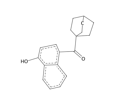 O=C(c1ccc(O)c2ccccc12)C12CCC(CC1)CC2